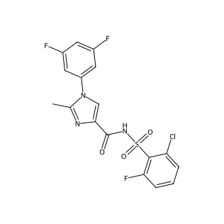 Cc1nc(C(=O)NS(=O)(=O)c2c(F)cccc2Cl)cn1-c1cc(F)cc(F)c1